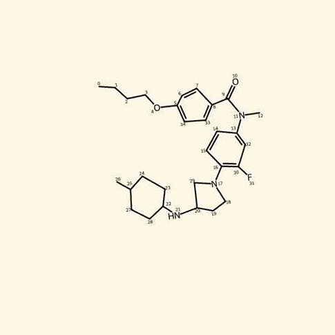 CCCCOc1ccc(C(=O)N(C)c2ccc(N3CCC(NC4CCC(C)CC4)C3)c(F)c2)cc1